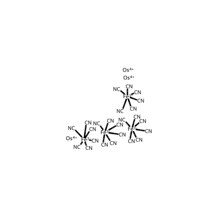 N#[C][Fe-3]([C]#N)([C]#N)([C]#N)([C]#N)[C]#N.N#[C][Fe-3]([C]#N)([C]#N)([C]#N)([C]#N)[C]#N.N#[C][Fe-3]([C]#N)([C]#N)([C]#N)([C]#N)[C]#N.N#[C][Fe-3]([C]#N)([C]#N)([C]#N)([C]#N)[C]#N.[Os+4].[Os+4].[Os+4]